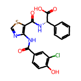 O=C(Nc1ncsc1C(=O)N[C@H](C(=O)O)c1ccccc1)c1ccc(O)c(Cl)c1